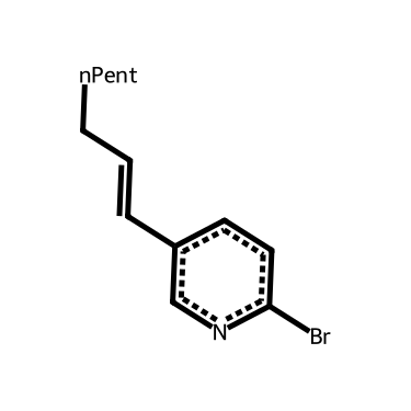 CCCCCCC=Cc1ccc(Br)nc1